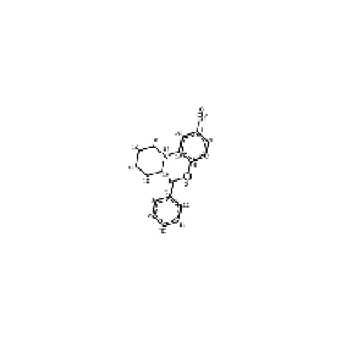 Brc1ccc(OCc2ccccc2)c(N2CCCCC2)c1